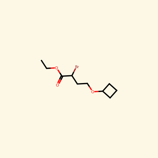 CCOC(=O)C(Br)CCOC1CCC1